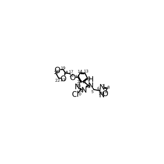 Clc1nc(NCc2ncon2)c2cccc(OCC3COCCO3)c2n1